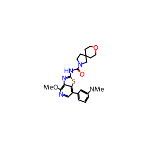 CNc1cccc(-c2cnc(OC)c3nc(NC(=O)N4CCC5(CCOCC5)C4)sc23)c1